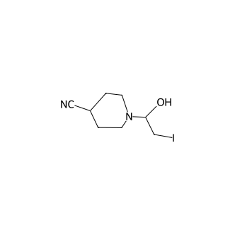 N#CC1CCN(C(O)CI)CC1